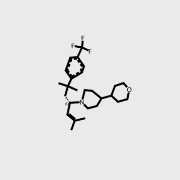 CC(C)=C[C@H](CC(C)(C)c1ccc(C(F)(F)F)cc1)N1CCC(C2CCOCC2)CC1